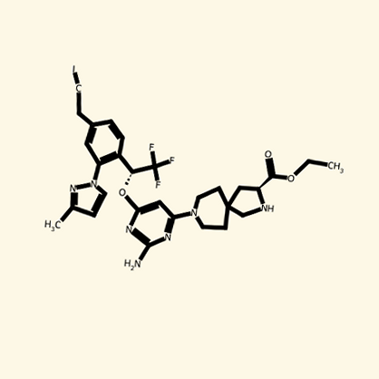 CCOC(=O)[C@@H]1CC2(CCN(c3cc(O[C@H](c4ccc(CCI)cc4-n4ccc(C)n4)C(F)(F)F)nc(N)n3)CC2)CN1